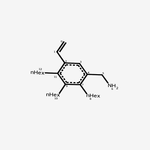 C=Cc1cc(CN)c(CCCCCC)c(CCCCCC)c1CCCCCC